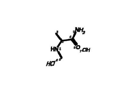 CNC(C)C(N)=O.Cl.Cl